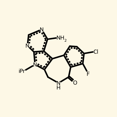 CC(C)n1c2c(c3c(N)ncnc31)-c1ccc(Cl)c(F)c1C(=O)NC2